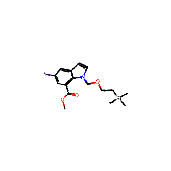 COC(=O)c1cc(I)cc2ccn(COCC[Si](C)(C)C)c12